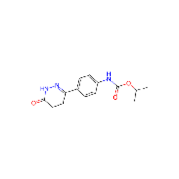 CC(C)OC(=O)Nc1ccc(C2=NNC(=O)CC2)cc1